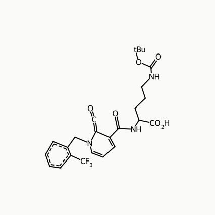 CC(C)(C)OC(=O)NCCCC(NC(=O)C1=CC=CN(Cc2ccccc2C(F)(F)F)C1=C=O)C(=O)O